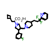 O=C(O)[C@@H](CC1CCC1)N1CC(CN2CCC(CCC(F)(F)c3ccccn3)CC2)C(c2cccc(F)c2)C1